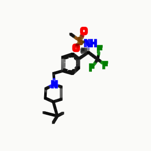 CC(C)(C)C1CCN(Cc2ccc([C@H](NS(C)(=O)=O)C(F)(F)F)cc2)CC1